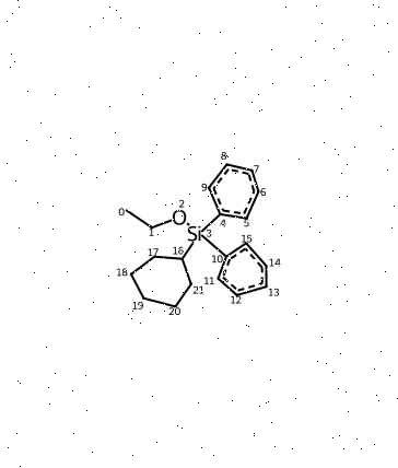 CCO[Si](c1ccccc1)(c1ccccc1)C1CCCCC1